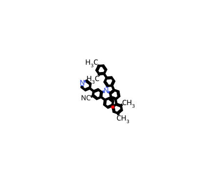 Cc1ccc(-c2ccc3c4ccc(-c5ccc(C)cc5C)cc4n(-c4cc(-c5ccncc5)c(C#N)cc4-c4ccccc4)c3c2)c(C)c1